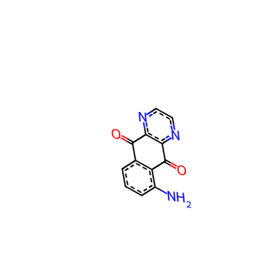 Nc1cccc2c1C(=O)c1nccnc1C2=O